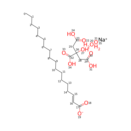 CCCCCCCCCCCCCCCC=CC(=O)[O-].O.O.O=C(O)CC(O)(CC(=O)O)C(=O)O.[Na+]